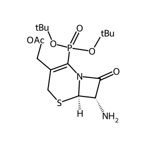 CC(=O)OCC1=C(P(=O)(OC(C)(C)C)OC(C)(C)C)N2C(=O)[C@H](N)[C@H]2SC1